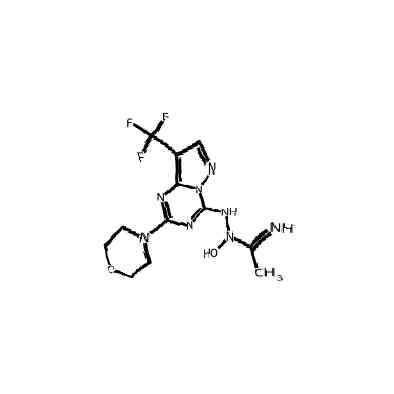 CC(=N)N(O)Nc1nc(N2CCOCC2)nc2c(C(F)(F)F)cnn12